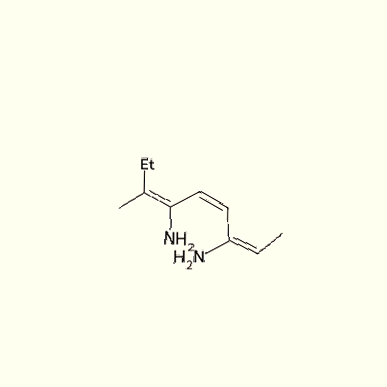 C\C=C(N)/C=C\C(N)=C(\C)CC